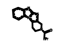 CCCC(=O)N1CCc2c(sc3nc4ccccc4n23)C1